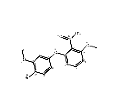 COc1cc(Oc2ncnc(OC)c2[N+](=O)[O-])ccc1Br